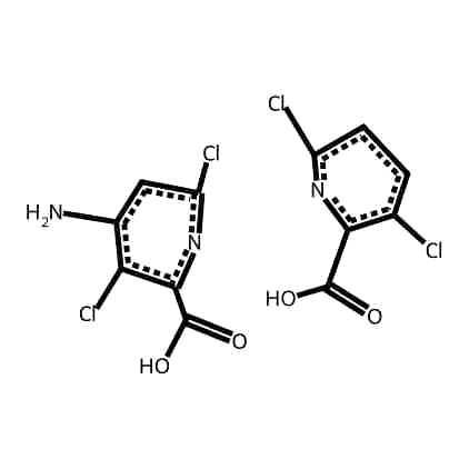 Nc1cc(Cl)nc(C(=O)O)c1Cl.O=C(O)c1nc(Cl)ccc1Cl